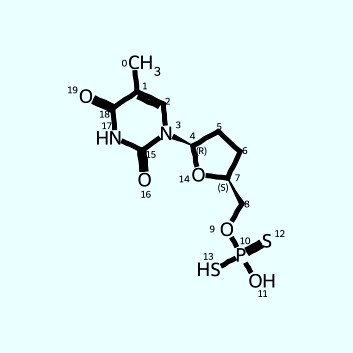 Cc1cn([C@H]2CC[C@@H](COP(O)(=S)S)O2)c(=O)[nH]c1=O